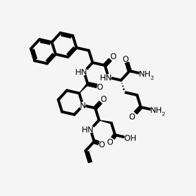 C=CC(=O)N[C@H](CC(=O)O)C(=O)N1CCCC[C@H]1C(=O)NC(Cc1ccc2ccccc2c1)C(=O)N[C@@H](CCC(N)=O)C(N)=O